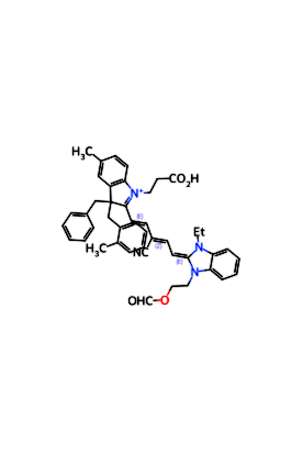 CCN1\C(=C/C=C(C#N)/C=C/C2=[N+](CCC(=O)O)c3ccc(C)cc3C2(Cc2ccccc2)Cc2ccccc2C)N(CCOC=O)c2ccccc21